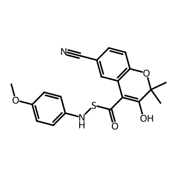 COc1ccc(NSC(=O)C2=C(O)C(C)(C)Oc3ccc(C#N)cc32)cc1